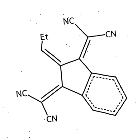 CCC=C1C(=C(C#N)C#N)c2ccccc2C1=C(C#N)C#N